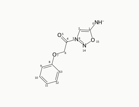 [NH-]c1c[n+](C(=O)COc2ccccc2)no1